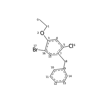 CCOc1cc(Cl)c(Cc2ccccc2)cc1Br